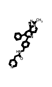 Cc1nnc2c3cc(-c4ccccc4)c(-c4ccc(CNC(=O)Cc5ccncc5)cc4)nc3ccn12